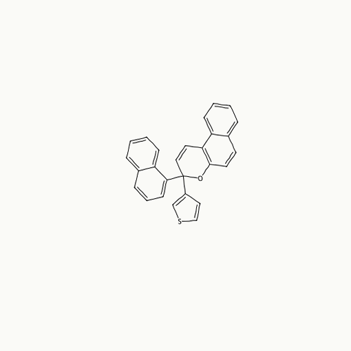 C1=CC(c2ccsc2)(c2cccc3ccccc23)Oc2ccc3ccccc3c21